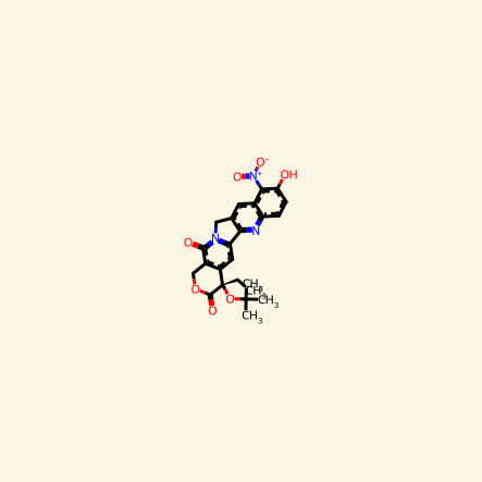 CC[C@@]1(OC(C)(C)C)C(=O)OCc2c1cc1n(c2=O)Cc2cc3c([N+](=O)[O-])c(O)ccc3nc2-1